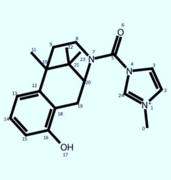 C[n+]1ccn(C(=O)N2CCC3(C)c4cccc(O)c4CC2C3(C)C)c1